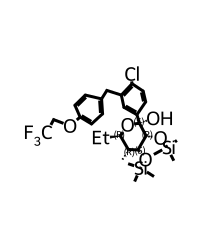 CC[C@H]1O[C@@](O)(c2ccc(Cl)c(Cc3ccc(OCC(F)(F)F)cc3)c2)[C@H](O[Si](C)(C)C)[C@@H](O[Si](C)(C)C)[C@@H]1C